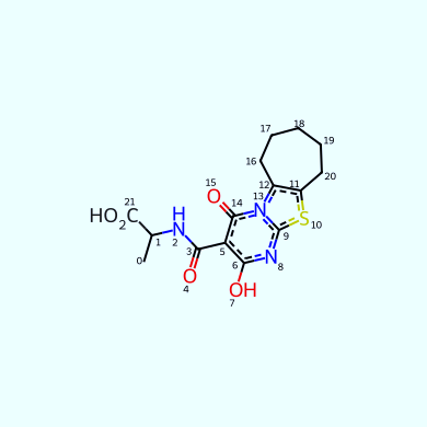 CC(NC(=O)c1c(O)nc2sc3c(n2c1=O)CCCCC3)C(=O)O